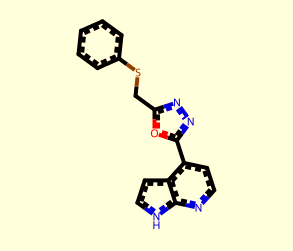 c1ccc(SCc2nnc(-c3ccnc4[nH]ccc34)o2)cc1